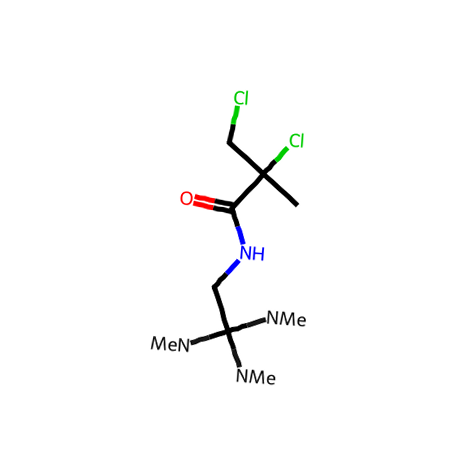 CNC(CNC(=O)C(C)(Cl)CCl)(NC)NC